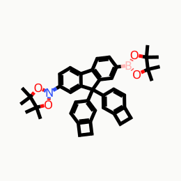 CC1(C)OB(c2ccc3c(c2)C(c2ccc4c(c2)CC4)(c2ccc4c(c2)CC4)c2cc(N4OC(C)(C)C(C)(C)O4)ccc2-3)OC1(C)C